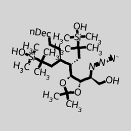 CCCCCCCCCCCC[C@H](CC(C)(C)[Si](C)(C)O)[C@H](CC(C)(C)[Si](C)(C)O)[C@H]1OC(C)(C)O[C@H]1[C@H](CO)N=[N+]=[N-]